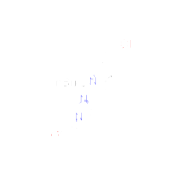 CCCCC([N+]1=CC(CCO)C=C1)[n+]1ccn(CCO)c1